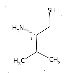 CC(C)[C@H](N)CS